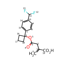 C=C(CC(=O)OC1(c2ccc(C(F)F)cc2)CCC1)C(=O)O